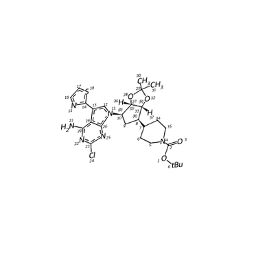 CC(C)(C)OC(=O)N1CCC([C@H]2C[C@@H](n3cc(-c4nccs4)c4c(N)nc(Cl)nc43)[C@@H]3OC(C)(C)O[C@@H]32)CC1